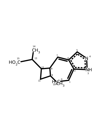 C/C=c1/[nH]nc/c1=C/C1C(C)CC1C(C)C(=O)O